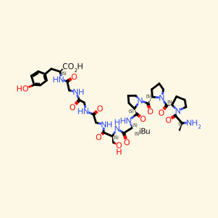 CC[C@H](C)[C@H](NC(=O)[C@@H]1CCCN1C(=O)[C@@H]1CCCN1C(=O)[C@@H]1CCCN1C(=O)[C@H](C)N)C(=O)N[C@@H](CO)C(=O)NCC(=O)NCC(=O)NCC(=O)N[C@@H](Cc1ccc(O)cc1)C(=O)O